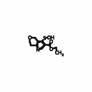 CCOC(=O)c1cnc2c(c1SO)COCC2